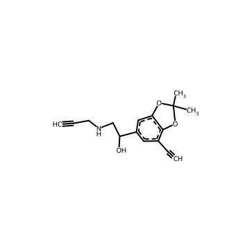 C#CCNCC(O)c1cc(C#C)c2c(c1)OC(C)(C)O2